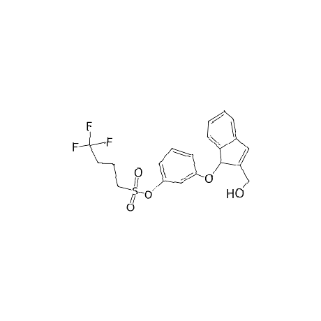 O=S(=O)(CCCC(F)(F)F)Oc1cccc(OC2C(CO)=Cc3ccccc32)c1